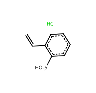 C=Cc1ccccc1S(=O)(=O)O.Cl